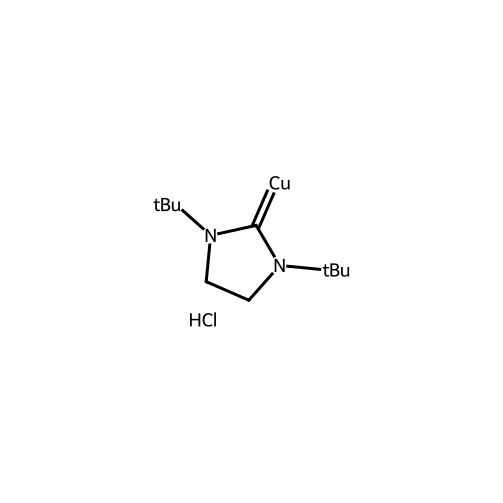 CC(C)(C)N1CCN(C(C)(C)C)[C]1=[Cu].Cl